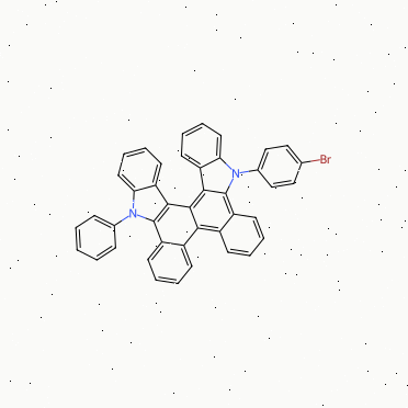 Brc1ccc(-n2c3ccccc3c3c4c(c5ccccc5c5c4c4ccccc4n5-c4ccccc4)c4ccccc4c32)cc1